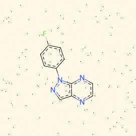 Fc1ccc(-n2ncc3n[c]cnc32)cc1